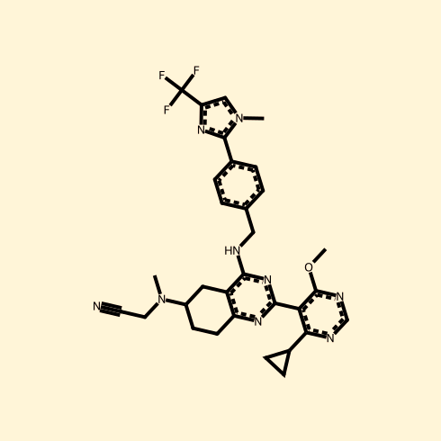 COc1ncnc(C2CC2)c1-c1nc2c(c(NCc3ccc(-c4nc(C(F)(F)F)cn4C)cc3)n1)CC(N(C)CC#N)CC2